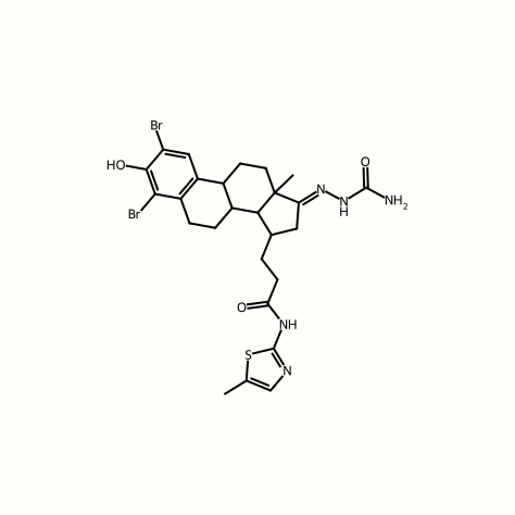 Cc1cnc(NC(=O)CCC2C/C(=N\NC(N)=O)C3(C)CCC4c5cc(Br)c(O)c(Br)c5CCC4C23)s1